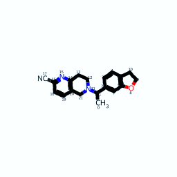 CC(c1ccc2c(c1)OCC2)N1CCc2nc(C#N)ccc2C1